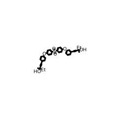 CCC(C)(O)C#Cc1ccc(Oc2ccc(S(=O)(=O)c3ccc(Oc4cccc(C#CC(C)(O)CC)c4)cc3)cc2)cc1